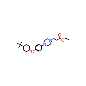 CCOC(=O)CCN1CCN(c2ccc(OC3CCC(C(C)(C)C)CC3)cc2)CC1